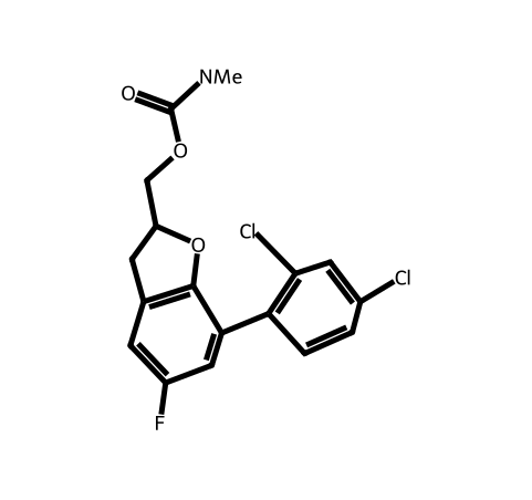 CNC(=O)OCC1Cc2cc(F)cc(-c3ccc(Cl)cc3Cl)c2O1